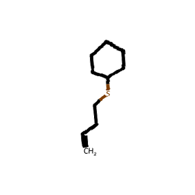 C=CCCSC1CCCCC1